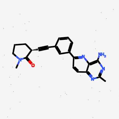 Cc1nc(N)c2nc(-c3cccc(C#C[C@H]4CCCN(C)C4=O)c3)ccc2n1